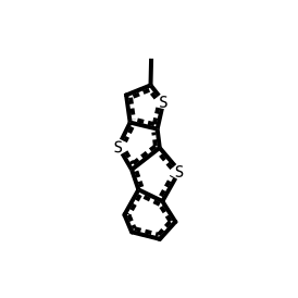 Cc1cc2sc3c4ccccc4sc3c2s1